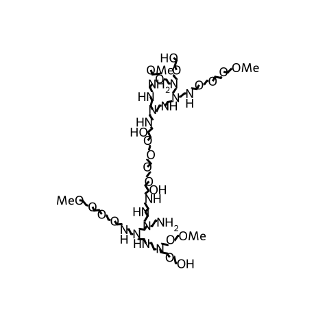 COCCOCCOCCOCCNCCN(CCNCCN(CCOCCO)CCOCCOC)CCN(CCN)CCNCCNCC(O)COCCOCCOCCOCC(O)CNCCN(CCNCCN)CCNCCN(CCNCCOCCOCCOCCOC)CCN(CCOCCO)CCOCCOC